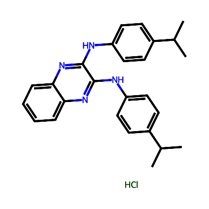 CC(C)c1ccc(Nc2nc3ccccc3nc2Nc2ccc(C(C)C)cc2)cc1.Cl